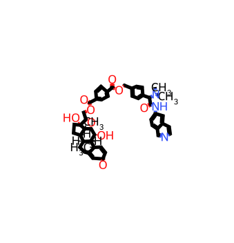 CN(C)C(C(=O)Nc1ccc2cnccc2c1)c1ccc(COC(=O)c2ccc(C(=O)OCC(=O)[C@@]3(O)CC[C@H]4[C@@H]5CCC6=CC(=O)C=C[C@]6(C)[C@H]5[C@@H](O)C[C@@]43C)cc2)cc1